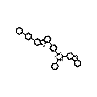 c1ccc(-c2ccc(-c3ccc4sc5c(-c6ccc(-c7nc(-c8ccccc8)nc(-c8ccc9sc%10ccccc%10c9c8)n7)cc6)cccc5c4c3)cc2)cc1